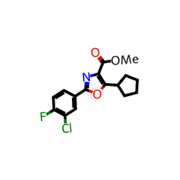 COC(=O)c1nc(-c2ccc(F)c(Cl)c2)oc1C1CCCC1